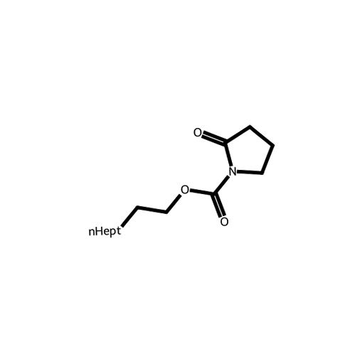 CCCCCCCCCOC(=O)N1CCCC1=O